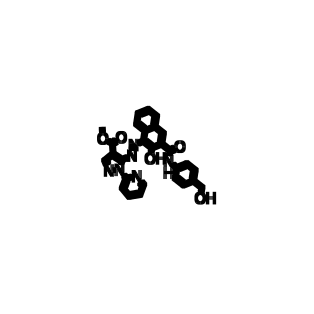 COC(=O)c1cnn(-c2ccccn2)c1/N=N/c1c(O)c(C(=O)Nc2ccc(CO)cc2)cc2ccccc12